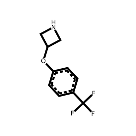 FC(F)(F)c1ccc(OC2CNC2)cc1